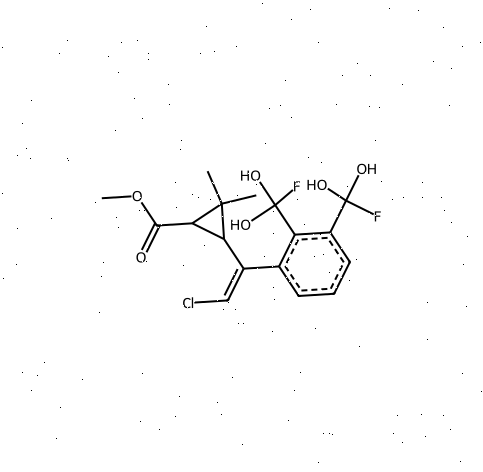 COC(=O)C1C(C(=CCl)c2cccc(C(O)(O)F)c2C(O)(O)F)C1(C)C